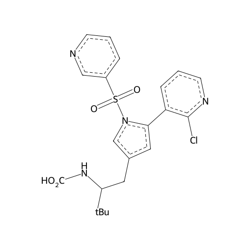 CC(C)(C)C(Cc1cc(-c2cccnc2Cl)n(S(=O)(=O)c2cccnc2)c1)NC(=O)O